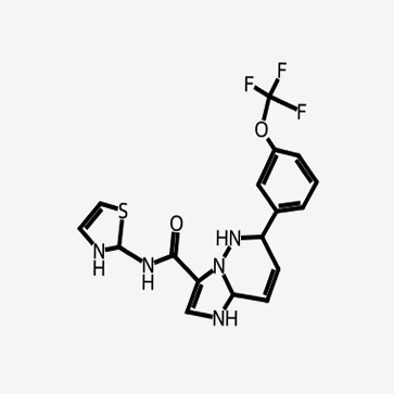 O=C(NC1NC=CS1)C1=CNC2C=CC(c3cccc(OC(F)(F)F)c3)NN12